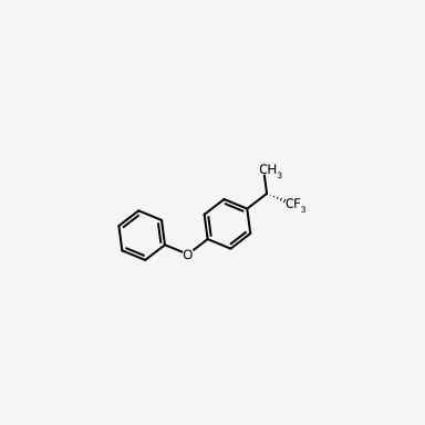 C[C@@H](c1ccc(Oc2ccccc2)cc1)C(F)(F)F